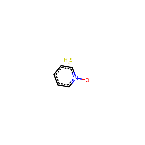 S.[O-][n+]1ccccc1